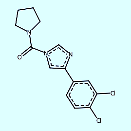 O=C(N1CCCC1)n1cnc(-c2ccc(Cl)c(Cl)c2)c1